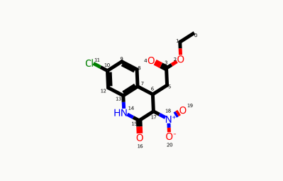 CCOC(=O)CC1c2ccc(Cl)cc2NC(=O)C1[N+](=O)[O-]